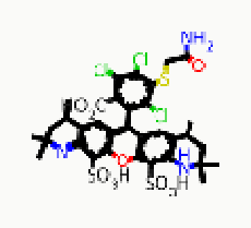 CC1CC(C)(C)Nc2c1cc1c(c2S(=O)(=O)O)Oc2c(S(=O)(=O)O)c3c(cc2=C1c1c(Cl)c(SCC(N)=O)c(Cl)c(Cl)c1C(=O)O)C(C)CC(C)(C)N=3